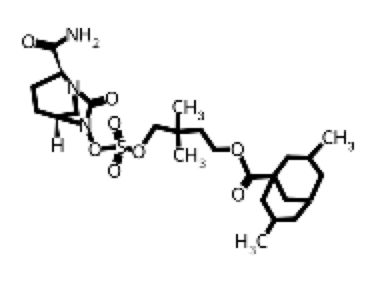 CC1CC2CC(C)CC(C(=O)OCCC(C)(C)COS(=O)(=O)ON3C(=O)N4C[C@H]3CC[C@H]4C(N)=O)(C1)C2